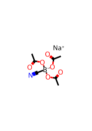 CC(=O)O[B-](C#N)(OC(C)=O)OC(C)=O.[Na+]